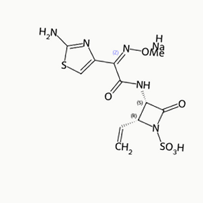 C=C[C@@H]1[C@H](NC(=O)/C(=N\OC)c2csc(N)n2)C(=O)N1S(=O)(=O)O.[NaH]